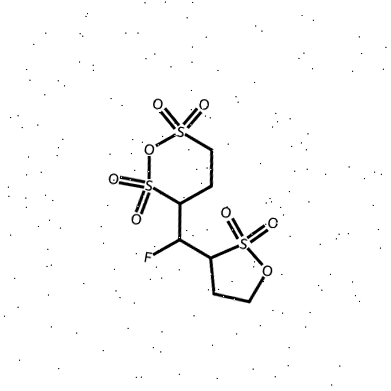 O=S1(=O)CCC(C(F)C2CCOS2(=O)=O)S(=O)(=O)O1